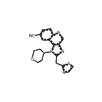 N#Cc1ccc2ncc3nc(Cc4nccs4)n(C4CCOCC4)c3c2c1